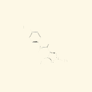 CCCOc1nn(CCC)cc1C(=O)N(C)c1ccc(C(F)(F)F)cc1